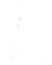 CCS(=O)(=O)c1cc(-n2ccc(C(F)(F)F)n2)ccc1C(=O)CBr